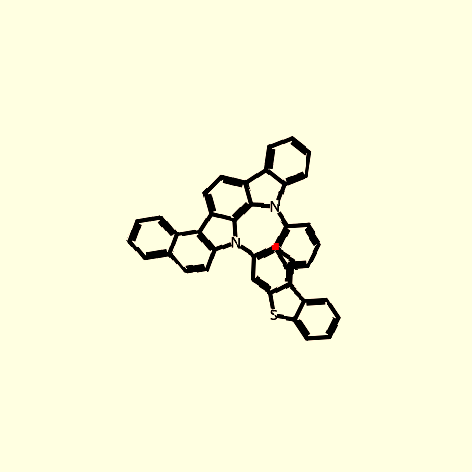 c1ccc(-n2c3ccccc3c3ccc4c5c6ccccc6ccc5n(-c5ccc6c(c5)sc5ccccc56)c4c32)cc1